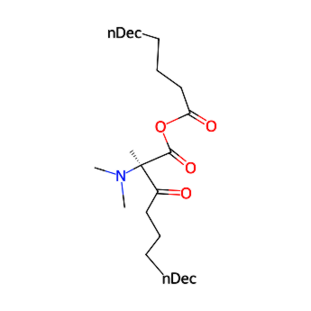 CCCCCCCCCCCCCC(=O)OC(=O)[C@@](C)(C(=O)CCCCCCCCCCCCC)N(C)C